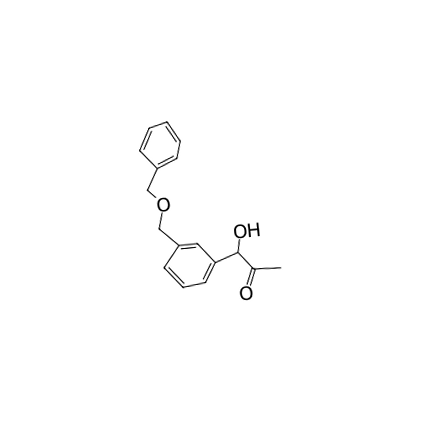 CC(=O)C(O)c1cccc(COCc2ccccc2)c1